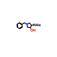 CNC1CN(Cc2ccccc2)CC1O